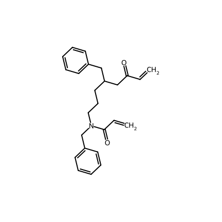 C=CC(=O)CC(CCCN(Cc1ccccc1)C(=O)C=C)Cc1ccccc1